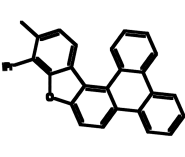 Cc1ccc2c(oc3ccc4c5ccccc5c5ccccc5c4c32)c1C(C)C